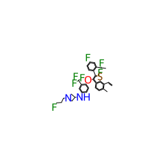 C=Cc1c(C)ccc2c(Oc3ccc(NC4CN(CCCF)C4)cc3C(F)(F)F)c(-c3ccc(F)cc3C(C)(F)F)sc12